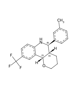 Cc1cccc([C@@H]2Nc3ccc(C(F)(F)F)cc3[C@H]3OCCC[C@H]32)c1